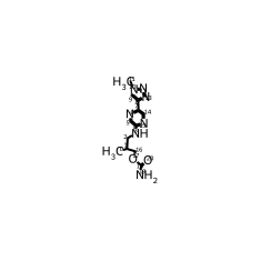 CC(CNc1cnc(-c2cn(C)nn2)cn1)COC(N)=O